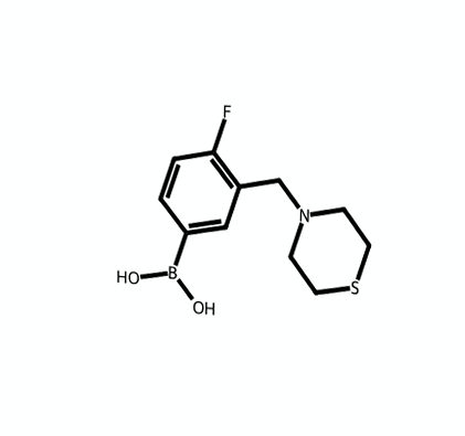 OB(O)c1ccc(F)c(CN2CCSCC2)c1